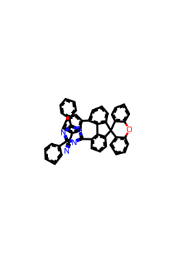 N#Cc1cccc(-c2cccc3c2-c2c(-c4nc(-c5ccccc5)nc(-c5ccccc5)n4)cccc2C32c3ccccc3Oc3ccccc32)c1